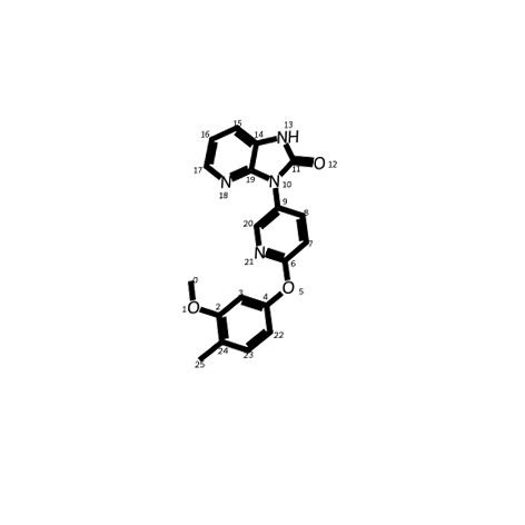 COc1cc(Oc2ccc(-n3c(=O)[nH]c4cccnc43)cn2)ccc1C